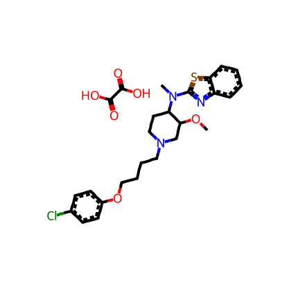 COC1CN(CCCCOc2ccc(Cl)cc2)CCC1N(C)c1nc2ccccc2s1.O=C(O)C(=O)O